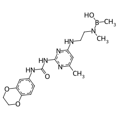 CB(O)N(C)CCNc1cc(C)nc(NC(=O)Nc2ccc3c(c2)OCCO3)n1